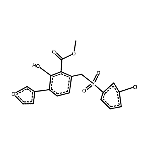 COC(=O)c1c(CS(=O)(=O)c2cccc(Cl)c2)ccc(-c2ccoc2)c1O